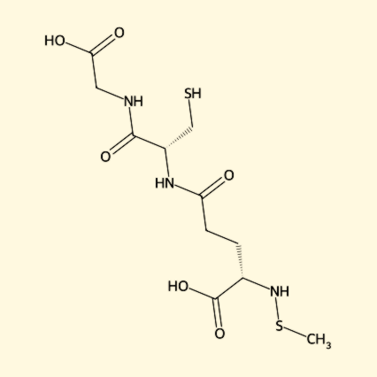 CSN[C@@H](CCC(=O)N[C@@H](CS)C(=O)NCC(=O)O)C(=O)O